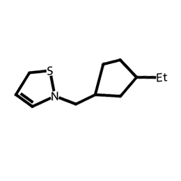 CCC1CCC(CN2C=CCS2)C1